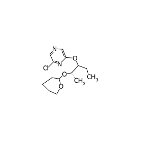 CCC(Oc1cncc(Cl)n1)[C@H](C)OC1CCCCO1